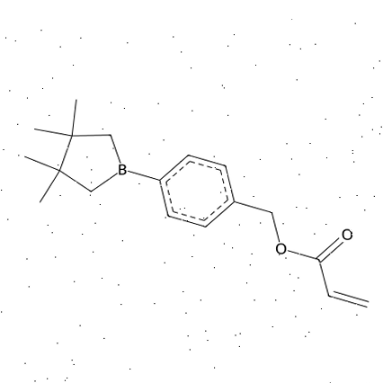 C=CC(=O)OCc1ccc(B2CC(C)(C)C(C)(C)C2)cc1